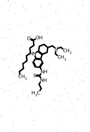 CCCCCCCCCC(=O)O.CCCNC(=S)Nc1ccc2[nH]c3c(c2c1)CC(CN(CC)CC)CC3